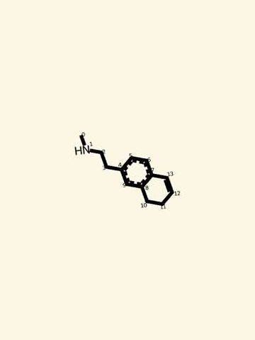 CNCCc1ccc2c(c1)CCC=C2